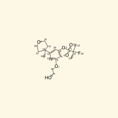 O=S(=O)(Oc1cc(OCCO)nc(C2(F)CCOCC2)c1)C(F)(F)F